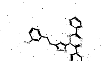 COc1cccc(CCc2cc(N(NC(=O)c3ccccc3)C(=O)c3ccccc3)[nH]n2)c1